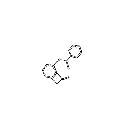 O=C(Oc1cccc2c1C(=O)C2)c1ccccc1